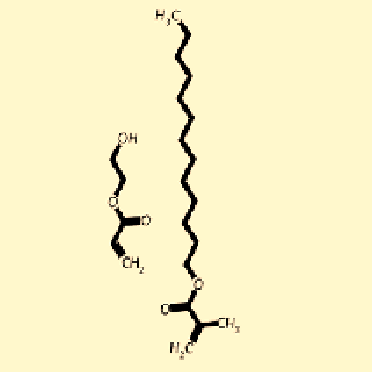 C=C(C)C(=O)OCCCCCCCCCCCCC.C=CC(=O)OCCO